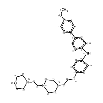 COc1ccc(-c2cnc(Nc3ccc(OCCN4CCN(CCN5CCOCC5)CC4)cc3)nc2)cc1